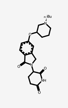 CC[C@@H](C)N1CCCC(Oc2ccc3c(c2)CN(C2CCC(=O)NC2=O)C3=O)C1